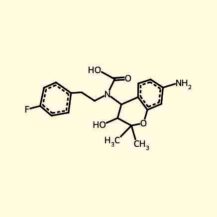 CC1(C)Oc2cc(N)ccc2C(N(CCc2ccc(F)cc2)C(=O)O)C1O